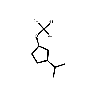 [2H]C([2H])([2H])O[C@@H]1CC[C@H](C(C)C)C1